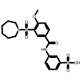 COc1ccc(C(=O)Nc2cccc(S(=O)(=O)O)c2)cc1S(=O)(=O)N1CCCCCC1